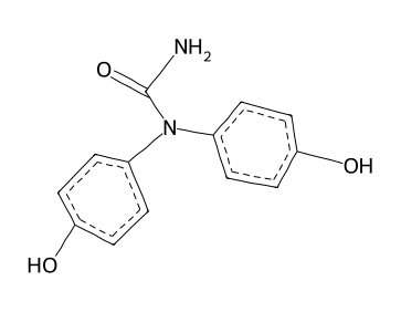 NC(=O)N(c1ccc(O)cc1)c1ccc(O)cc1